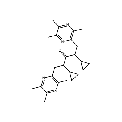 Cc1nc(C)c(CC(C(=O)C(Cc2nc(C)c(C)nc2C)C2CC2)C2CC2)nc1C